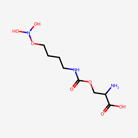 NC(COC(=O)NCCCCON(O)O)C(=O)O